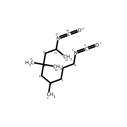 CC(CCCN=C=O)CC(C)(C)CC(C)N=C=O